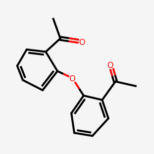 CC(=O)c1ccccc1Oc1ccccc1C(C)=O